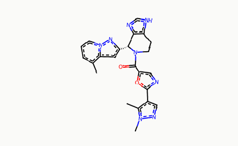 Cc1cccn2nc([C@@H]3c4nc[nH]c4CCN3C(=O)c3cnc(-c4cnn(C)c4C)o3)cc12